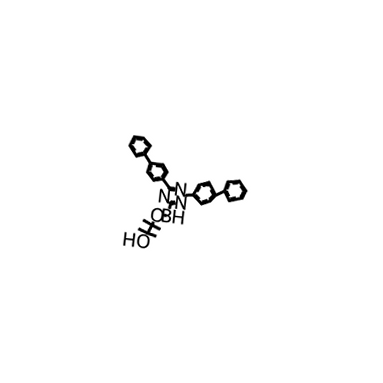 CC(C)(O)C(C)(C)OBc1nc(-c2ccc(-c3ccccc3)cc2)nc(-c2ccc(-c3ccccc3)cc2)n1